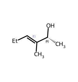 CC/C=C(\C)[C@@H](C)O